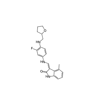 Cc1cccc2c1C(=CNc1ccc(NCC3CCCO3)c(F)c1)C(=O)N2